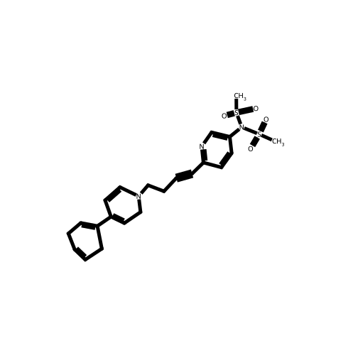 CS(=O)(=O)N(c1ccc(C#CCCN2C=CC(C3=CCC=CC3)=CC2)nc1)S(C)(=O)=O